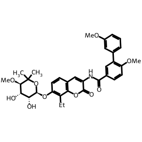 CCc1c(O[C@@H]2OC(C)(C)[C@H](OC)[C@@H](O)[C@H]2O)ccc2cc(NC(=O)c3ccc(OC)c(-c4cccc(OC)c4)c3)c(=O)oc12